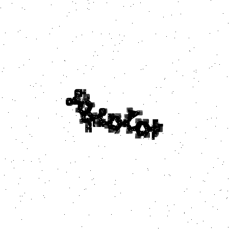 C[S+]([O-])c1ccc2c(c1)CNC2C(=O)Nc1ccc(N(Cc2ccc(C(F)(F)F)cc2)C2CC2)cn1